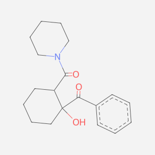 O=C(C1CCCCC1(O)C(=O)c1ccccc1)N1CCCCC1